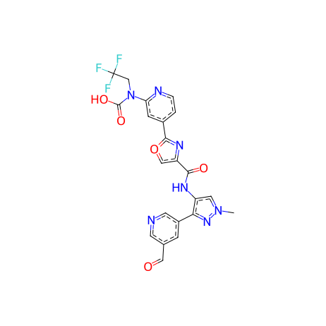 Cn1cc(NC(=O)c2coc(-c3ccnc(N(CC(F)(F)F)C(=O)O)c3)n2)c(-c2cncc(C=O)c2)n1